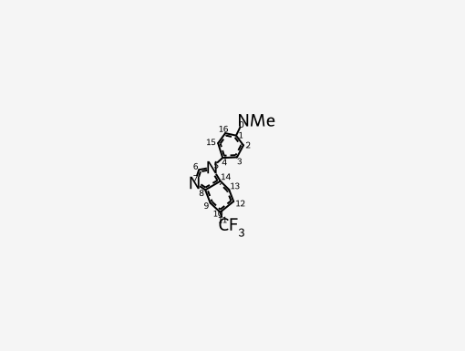 CNc1ccc(-n2cnc3cc(C(F)(F)F)ccc32)cc1